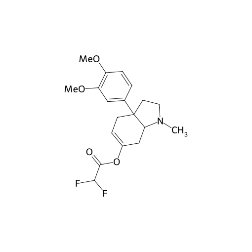 COc1ccc(C23CC=C(OC(=O)C(F)F)CC2N(C)CC3)cc1OC